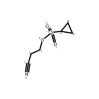 N#CCCOS(=O)(=O)C1CC1